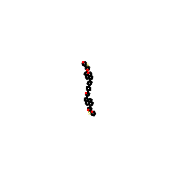 C1=CC(c2ccc3sc4ccccc4c3c2)C2=CCc3ccc(-c4ccc(-c5ccc(-c6ccc(-c7ccc8ccc9c(-c%10ccc%11sc%12ccccc%12c%11c%10)ccc%10ccc7c8c%109)cc6)cc5)cc4)c4ccc1c2c34